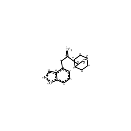 C=C(Cc1cccc2oncc12)C1CN2CCC1CC2